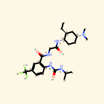 CC[C@H]1C[C@H](N(C)C)CC[C@@H]1NC(=O)CNC(=O)c1cc(C(F)(F)F)ccc1NC(=O)NC(C)C